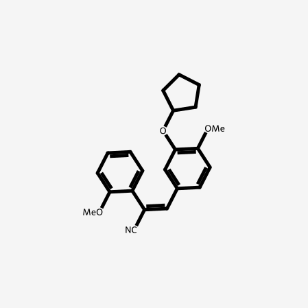 COc1ccc(C=C(C#N)c2ccccc2OC)cc1OC1CCCC1